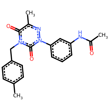 CC(=O)Nc1cccc(-n2nc(C)c(=O)n(Cc3ccc(C)cc3)c2=O)c1